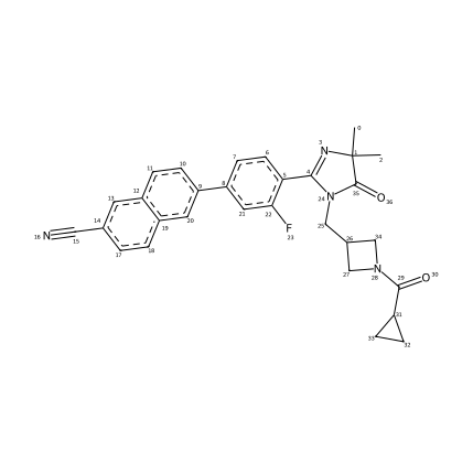 CC1(C)N=C(c2ccc(-c3ccc4cc(C#N)ccc4c3)cc2F)N(CC2CN(C(=O)C3CC3)C2)C1=O